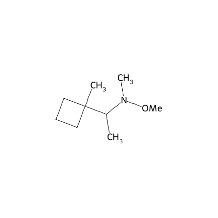 CON(C)C(C)C1(C)CCC1